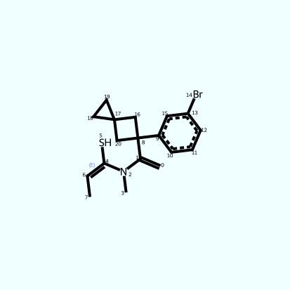 C=C(N(C)/C(S)=C\C)C1(c2cccc(Br)c2)CC2(CC2)C1